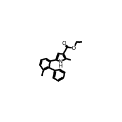 CCOC(=O)c1cc(-c2cccc(C)c2-c2ccccc2)[nH]c1C